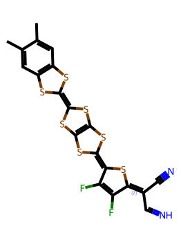 Cc1cc2c(cc1C)SC(=C1SC3=C(S1)SC(=c1s/c(=C(\C#N)C=N)c(F)c1F)S3)S2